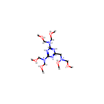 COCN(Cc1nc(N(COC)COC)nc(N(COC)COC)n1)OC